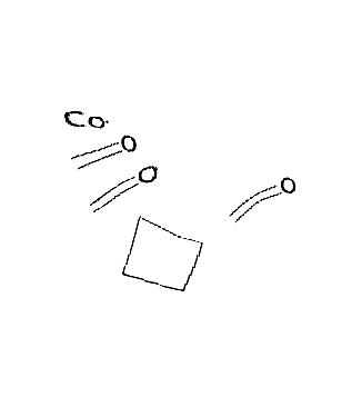 C1CCC1.C=O.C=O.C=O.[Co]